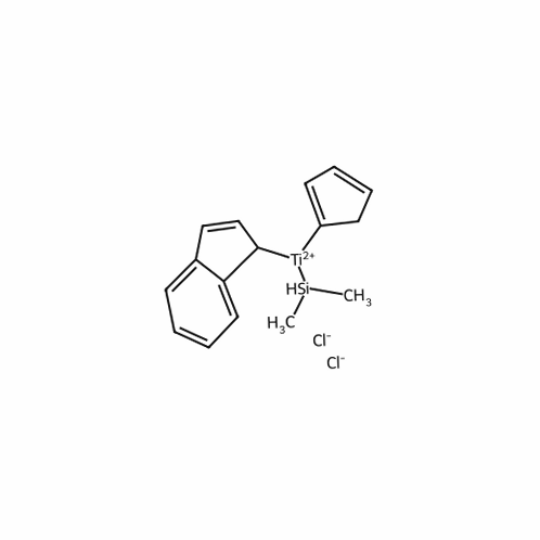 C[SiH](C)[Ti+2]([C]1=CC=CC1)[CH]1C=Cc2ccccc21.[Cl-].[Cl-]